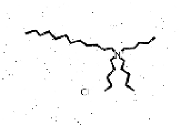 CCCCCCCCCCCC[N+](CCCCC)(CCCCC)CCCCC.[Cl-]